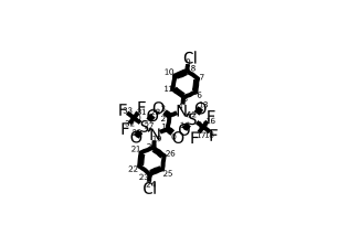 O=C(C(=O)N(c1ccc(Cl)cc1)S(=O)(=O)C(F)(F)F)N(c1ccc(Cl)cc1)S(=O)(=O)C(F)(F)F